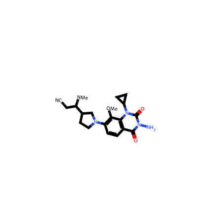 CNC(CC#N)C1CCN(c2ccc3c(=O)n(N)c(=O)n(C4CC4)c3c2OC)C1